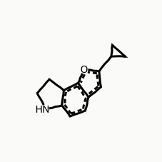 c1cc2cc(C3CC3)oc2c2c1NCC2